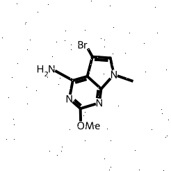 COc1nc(N)c2c(Br)cn(C)c2n1